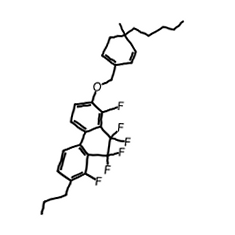 CCCCCC1(C)C=CC(COc2ccc3c(c2F)C(F)(F)C(F)(F)c2c-3ccc(CCC)c2F)=CC1